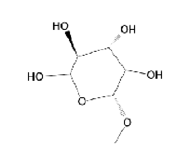 CO[C@@H]1OC(O)[C@@H](O)[C@H](O)C1O